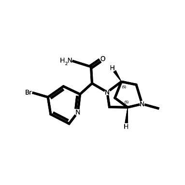 CN1C[C@@H]2C[C@H]1CN2C(C(N)=O)c1cc(Br)ccn1